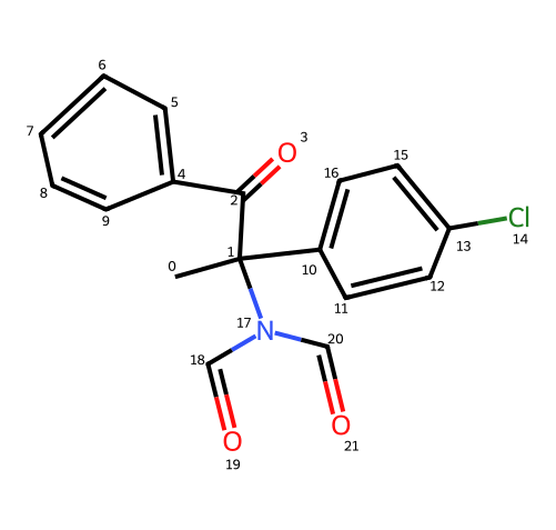 CC(C(=O)c1ccccc1)(c1ccc(Cl)cc1)N(C=O)C=O